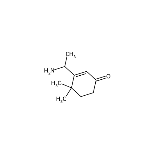 CC(N)C1=CC(=O)CCC1(C)C